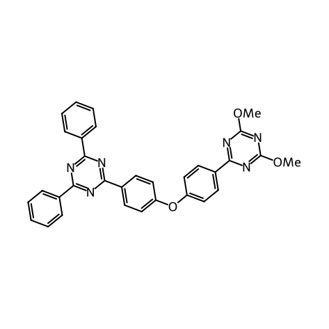 COc1nc(OC)nc(-c2ccc(Oc3ccc(-c4nc(-c5ccccc5)nc(-c5ccccc5)n4)cc3)cc2)n1